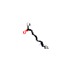 CC/C=C/CCCCC(=O)CC